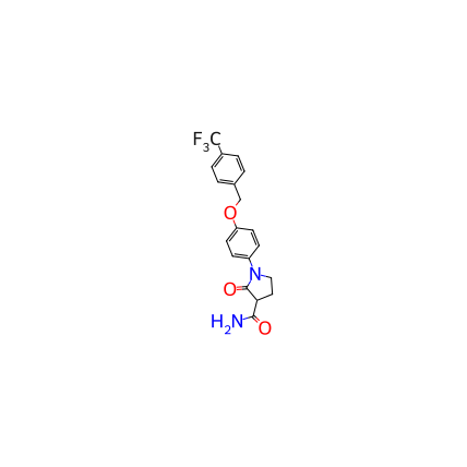 NC(=O)C1CCN(c2ccc(OCc3ccc(C(F)(F)F)cc3)cc2)C1=O